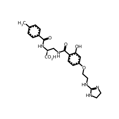 Cc1ccc(C(=O)N[C@@H](CNC(=O)c2ccc(OCCNC3=NCCN3)cc2O)C(=O)O)cc1